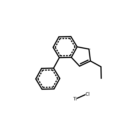 CCC1=Cc2c(cccc2-c2ccccc2)[CH]1.[Cl][Ti]